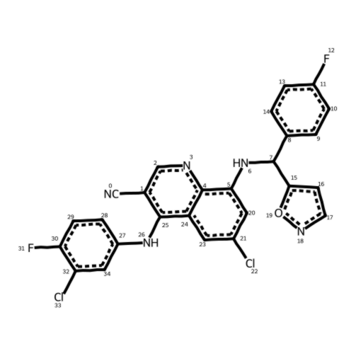 N#Cc1cnc2c(NC(c3ccc(F)cc3)c3ccno3)cc(Cl)cc2c1Nc1ccc(F)c(Cl)c1